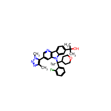 [2H][C@@](c1ccccc1F)(C1CCOCC1)n1c2cc(C(C)(C)O)ccc2c2ncc(-c3c(C)nnn3C)cc21